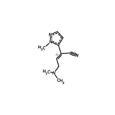 CN(C)C/C=C(\C#N)c1ccnn1C